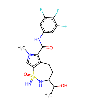 CC(O)C1CCc2c(cn(C)c2C(=O)Nc2cc(F)c(F)c(F)c2)S(=N)(=O)N1